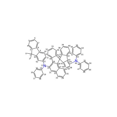 CC1(C)c2ccccc2-c2ccc(N(c3ccccc3)c3cc4ccccc4c4c3-c3ccccc3C43c4ccccc4-c4c(N(c5ccccc5)c5ccccc5)cccc43)cc21